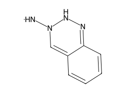 [NH]N1C=c2ccccc2=NN1